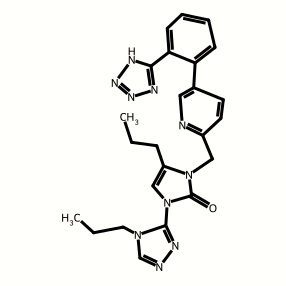 CCCc1cn(-c2nncn2CCC)c(=O)n1Cc1ccc(-c2ccccc2-c2nnn[nH]2)cn1